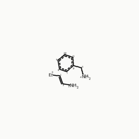 CCC=CN.NCc1ccccc1